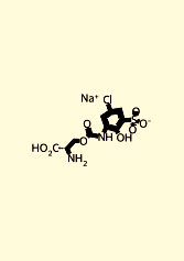 N[C@@H](COC(=O)Nc1cc(Cl)cc(S(=O)(=O)[O-])c1O)C(=O)O.[Na+]